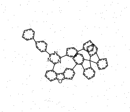 c1ccc(-c2ccc(-c3nc(-c4ccc(-c5ccccc5)cc4)nc(-c4cccc5oc6ccc(-c7cccc8c7-c7ccccc7C87c8ccccc8-c8ccccc87)cc6c45)n3)cc2)cc1